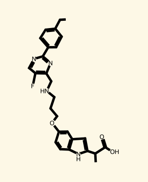 CCc1ccc(-c2ncc(F)c(CNCCCOc3ccc4[nH]c(C(C)C(=O)O)cc4c3)n2)cc1